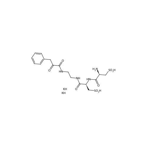 N[C@@H](CS(=O)(=O)O)C(=O)N[C@@H](CS(=O)(=O)O)C(=O)NCCNC(=O)C(=O)Cc1ccccc1.[KH].[KH]